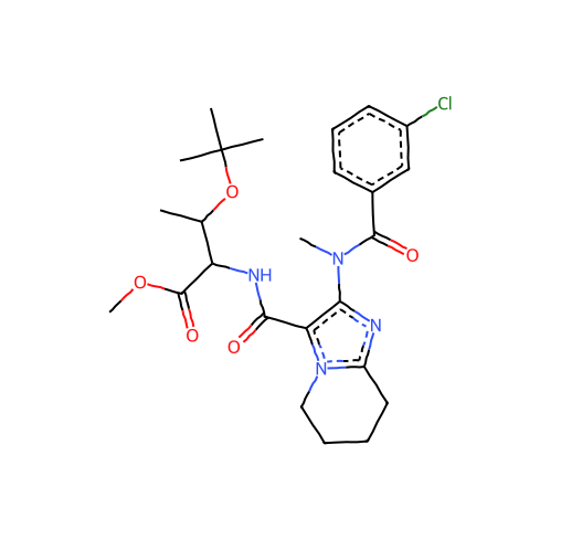 COC(=O)C(NC(=O)c1c(N(C)C(=O)c2cccc(Cl)c2)nc2n1CCCC2)C(C)OC(C)(C)C